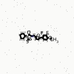 COc1ccc(-c2ccc(/C=C3\SC(=S)N(C4CCCCC4)C3=O)o2)c(F)c1F